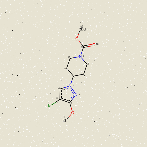 CCOc1nn(C2CCN(C(=O)OC(C)(C)C)CC2)cc1Br